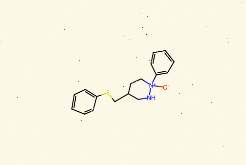 [O-][N+]1(c2ccccc2)CCC(CSc2ccccc2)CN1